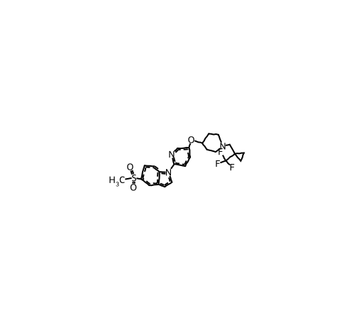 CS(=O)(=O)c1ccc2c(ccn2-c2ccc(OC3CCN(CC4(C(F)(F)F)CC4)CC3)cn2)c1